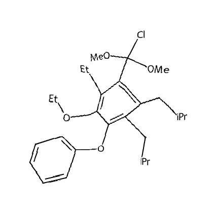 CCOc1c(CC)c(C(Cl)(OC)OC)c(CC(C)C)c(CC(C)C)c1Oc1ccccc1